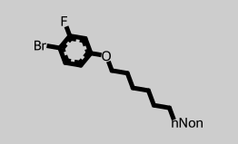 CCCCCCCCCCCCCCCOc1ccc(Br)c(F)c1